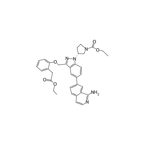 CCOC(=O)Cc1ccccc1OCc1nn([C@@H]2CCN(C(=O)OCC)C2)c2ccc(-c3ccc4ccnc(N)c4c3)cc12